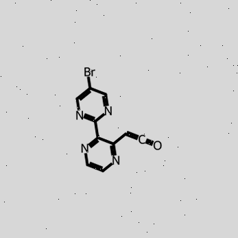 O=C=Cc1nccnc1-c1ncc(Br)cn1